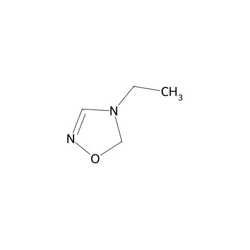 CCN1C=NOC1